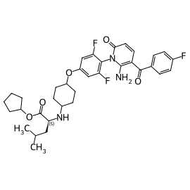 CC(C)C[C@H](NC1CCC(Oc2cc(F)c(-n3c(N)c(C(=O)c4ccc(F)cc4)ccc3=O)c(F)c2)CC1)C(=O)OC1CCCC1